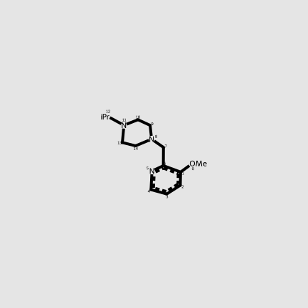 COc1cccnc1CN1CCN(C(C)C)CC1